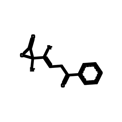 O=C(CC=C(Br)C1(Br)OC1=O)c1ccccc1